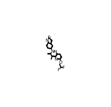 C=C1C(C)=c2nc(OCC(F)F)ccc2=NN1c1ccc2nn(C)cc2c1